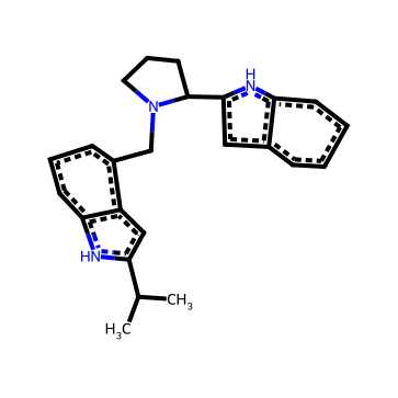 CC(C)c1cc2c(CN3CCCC3c3cc4ccccc4[nH]3)cccc2[nH]1